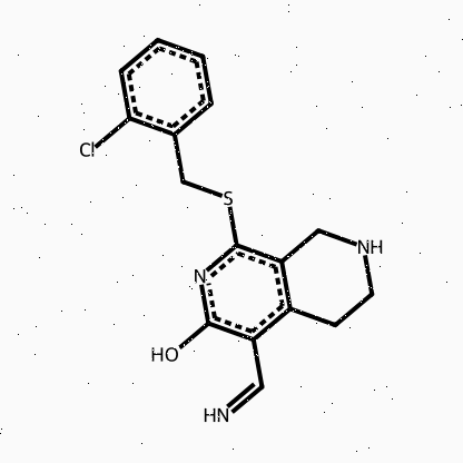 N=Cc1c(O)nc(SCc2ccccc2Cl)c2c1CCNC2